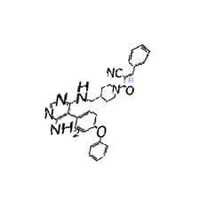 N#C/C(=C\c1ccccc1)C(=O)N1CCC(CNc2ncnc(N)c2-c2ccc(Oc3ccccc3)cc2)CC1